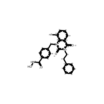 O=C(NO)c1ccc(Cn2c(=O)n(CCc3ccccc3)c(=O)c3cccc(F)c32)cc1